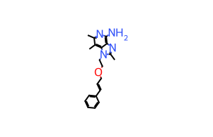 Cc1nc(N)c2nc(C)n(CCOCC=Cc3ccccc3)c2c1C